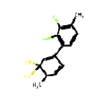 Cc1ccc(C2=CC(S)(S)C(C)C=C2)c(F)c1F